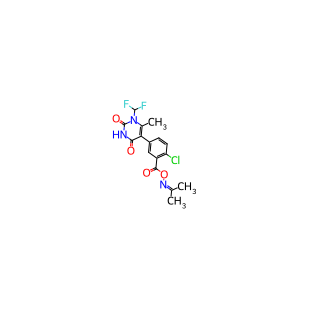 CC(C)=NOC(=O)c1cc(-c2c(C)n(C(F)F)c(=O)[nH]c2=O)ccc1Cl